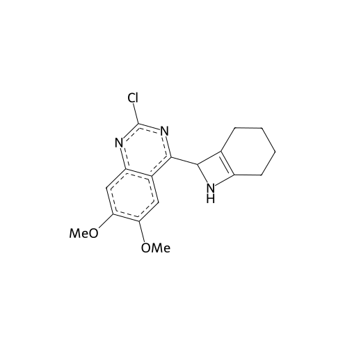 COc1cc2nc(Cl)nc(C3NC4=C3CCCC4)c2cc1OC